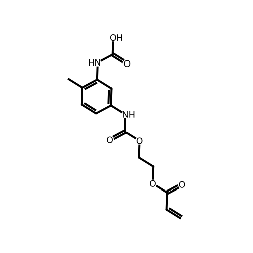 C=CC(=O)OCCOC(=O)Nc1ccc(C)c(NC(=O)O)c1